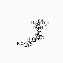 CC(C)(C(=O)O)N1CC(=O)N2C[C@H](C3=C4C=NC=C[N+]4(N)C(c4ccc(C(=O)Nc5cc(C(F)(F)F)ccn5)cc4)=N3)CC[C@H]2C1